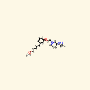 CC(C)OCCCCCc1cccc(OCCN2CCCC(NC(C)(C)C)C2)c1